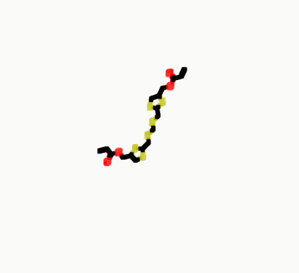 C=CC(=O)OCC1CSC(CSCSCC2SCC(COC(=O)C=C)S2)S1